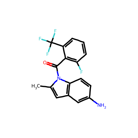 Cc1cc2cc(N)ccc2n1C(=O)c1c(F)cccc1C(F)(F)F